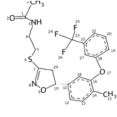 CC(=O)NCCSC1=NO[C@@H](c2ccc(C)c(Oc3cccc(C(F)(F)F)c3)c2)C1